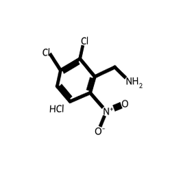 Cl.NCc1c([N+](=O)[O-])ccc(Cl)c1Cl